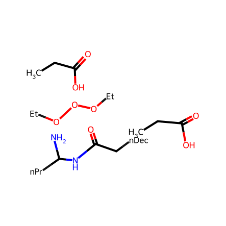 CCC(=O)O.CCC(=O)O.CCCCCCCCCCCC(=O)NC(N)CCC.CCOOOCC